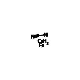 N#[C][Ni].[CaH2].[Fe]